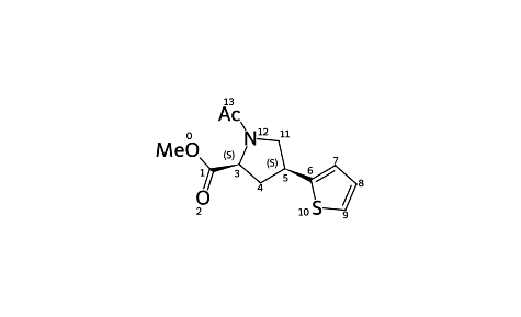 COC(=O)[C@@H]1C[C@H](c2cccs2)CN1C(C)=O